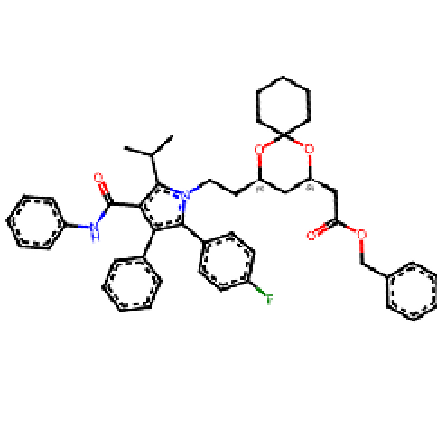 CC(C)c1c(C(=O)Nc2ccccc2)c(-c2ccccc2)c(-c2ccc(F)cc2)n1CC[C@@H]1C[C@H](CC(=O)OCc2ccccc2)OC2(CCCCC2)O1